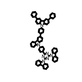 c1ccc(-c2ccc3c(c2)c2cc(-c4ccccc4)ccc2n3-c2ccc(-c3ccc4c(c3)c3ccccc3n4-c3ccc(-c4nc(-n5c6ccccc6c6ccccc65)nc(-n5c6ccccc6c6ccccc65)n4)cc3)cc2)cc1